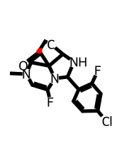 CN1C=C(F)N2C(c3ccc(Cl)cc3F)NC3CCCC(=O)C32C1